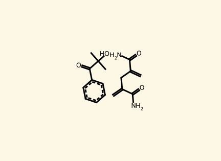 C=C(CC(=C)C(N)=O)C(N)=O.CC(C)(O)C(=O)c1ccccc1